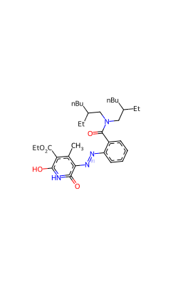 CCCCC(CC)CN(CC(CC)CCCC)C(=O)c1ccccc1/N=N/c1c(C)c(C(=O)OCC)c(O)[nH]c1=O